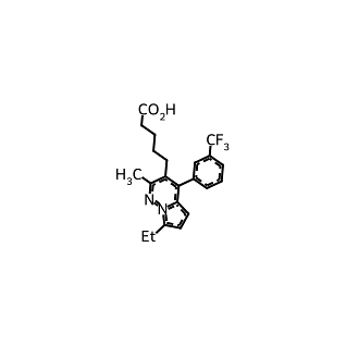 CCc1ccc2c(-c3cccc(C(F)(F)F)c3)c(CCCCC(=O)O)c(C)nn12